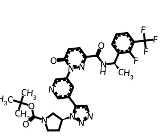 C[C@@H](NC(=O)c1ccc(=O)n(-c2cncc(-c3cnnn3[C@H]3CCN(C(=O)OC(C)(C)C)C3)c2)n1)c1cccc(C(F)(F)F)c1F